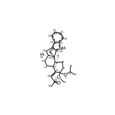 CO[C@]1(OC(C)C)CC[C@@]2(C)C(CC[C@H]3Cc4c([nH]c5ccccc45)[C@@]32C)/C1=C/C(C)=O